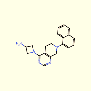 NC1CN(c2ncnc3c2CCN(c2cccc4ccccc24)C3)C1